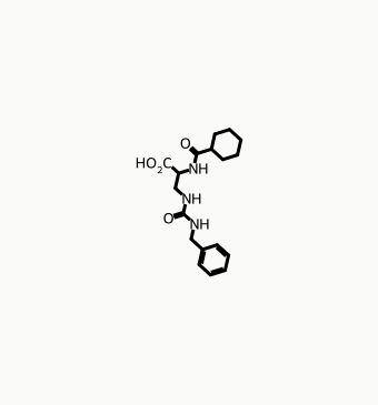 O=C(NCc1ccccc1)NCC(NC(=O)C1CCCCC1)C(=O)O